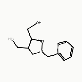 OCC1CN(Cc2ccccc2)OC1CO